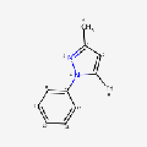 [CH2]Cc1cc(C)nn1-c1ccccc1